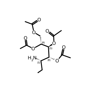 CC[C@H](N)[C@@H](OC(C)=O)[C@H](OC(C)=O)[C@@H](COC(C)=O)OC(C)=O